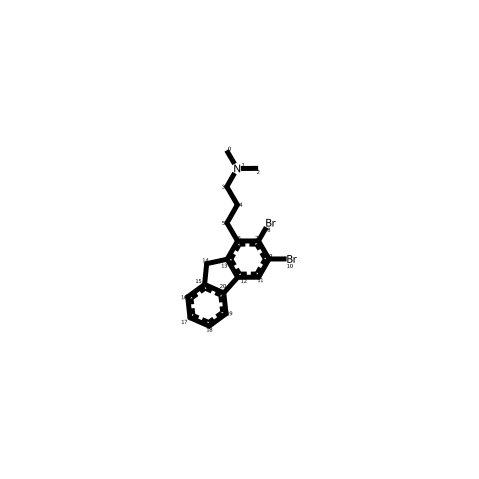 CN(C)CCCc1c(Br)c(Br)cc2c1Cc1ccccc1-2